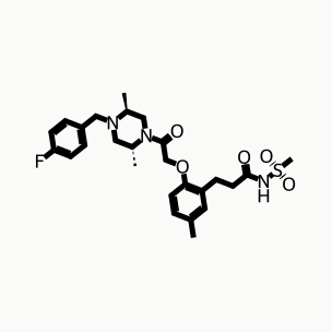 Cc1ccc(OCC(=O)N2C[C@H](C)N(Cc3ccc(F)cc3)C[C@H]2C)c(CCC(=O)NS(C)(=O)=O)c1